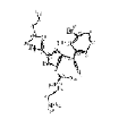 Cc1c(-c2nnn(CCO)n2)[nH]c(C(=O)NCCN)c1C(=O)c1cccc(Br)c1